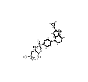 CC(C)C[C@H](CO)NS(=O)(=O)c1ccc(-c2ccnc3[nH]c(C4CC4)cc23)cc1